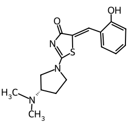 CN(C)[C@H]1CCN(C2=NC(=O)/C(=C/c3ccccc3O)S2)C1